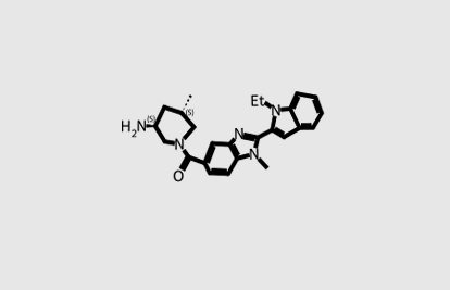 CCn1c(-c2nc3cc(C(=O)N4C[C@@H](C)C[C@H](N)C4)ccc3n2C)cc2ccccc21